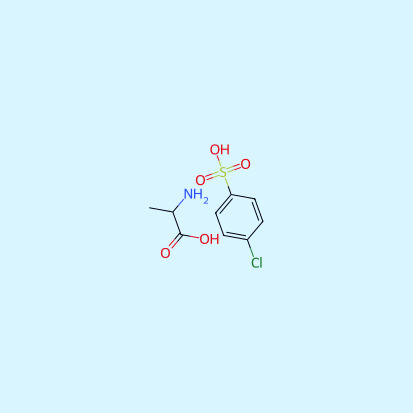 CC(N)C(=O)O.O=S(=O)(O)c1ccc(Cl)cc1